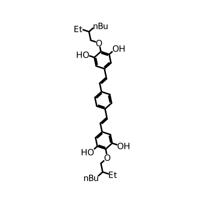 CCCCC(CC)COc1c(O)cc(/C=C/c2ccc(/C=C/c3cc(O)c(OCC(CC)CCCC)c(O)c3)cc2)cc1O